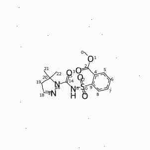 COC(=O)c1ccccc1S(=O)(=O)NC(=O)N1N=CCC1(C)C